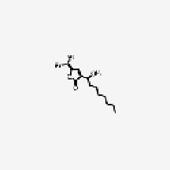 CCCCCCCC(O)C1=CC(=C(Br)Br)OC1=O